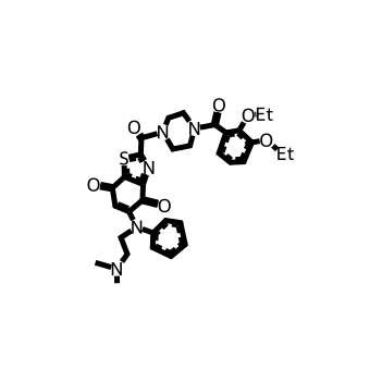 CCOc1cccc(C(=O)N2CCN(C(=O)c3nc4c(s3)C(=O)C=C(N(CCN(C)C)c3ccccc3)C4=O)CC2)c1OCC